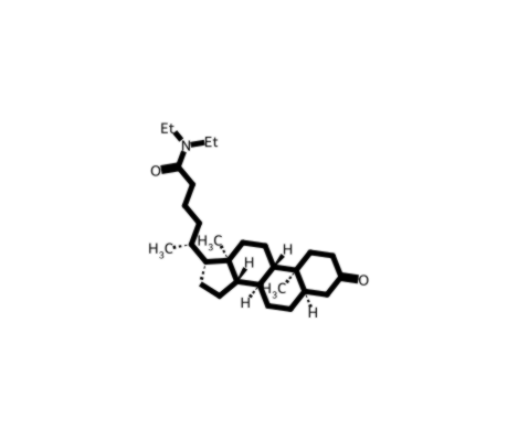 CCN(CC)C(=O)CCC[C@@H](C)[C@H]1CC[C@H]2[C@@H]3CC[C@@H]4CC(=O)CC[C@]4(C)[C@H]3CC[C@]12C